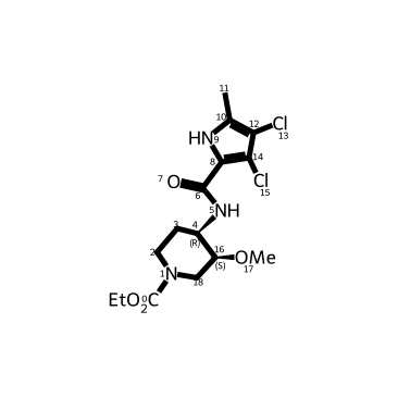 CCOC(=O)N1CC[C@@H](NC(=O)c2[nH]c(C)c(Cl)c2Cl)[C@@H](OC)C1